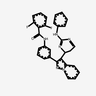 O=C(Nc1cccc(-c2nn3ccccc3c2C2CC=NC(Nc3ccccc3)=N2)c1)c1c(F)cccc1F